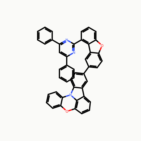 c1ccc(-c2cc(-c3ccccc3)nc(-c3cccc4oc5ccc(-c6ccc7c(c6)c6cccc8c6n7-c6ccccc6O8)cc5c34)n2)cc1